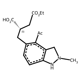 CCOC(=O)C[C@H](Cc1ccc2c(c1C(C)=O)CN(C)N2)C(=O)O